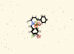 C[C@H]1CCC(C2CCCCC2)S(=O)(=O)N1Cc1cc(F)c(Br)cc1F